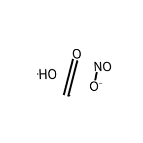 O=[NH+][O-].[CH]=O.[OH]